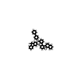 CC1(C)c2ccccc2-c2ccc(N(c3ccc(-c4ccccc4)cc3)c3cccc4c3sc3ccc5oc6c7ccccc7ccc6c5c34)cc21